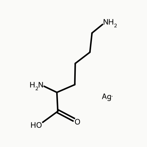 NCCCCC(N)C(=O)O.[Ag]